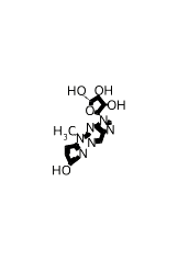 CN(c1ccc(O)cn1)c1ncc2ncn([C@@H]3O[C@H](CO)[C@@H](O)[C@H]3O)c2n1